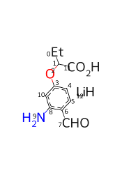 CCC(Oc1ccc(C=O)c(N)c1)C(=O)O.[LiH]